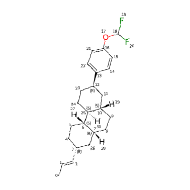 CC=C[C@@H]1CC[C@H]2[C@H](CC[C@H]3C[C@H](c4ccc(OC(F)F)cc4)CC[C@@H]32)C1